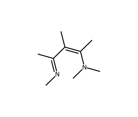 CN=C(C)/C(C)=C(/C)N(C)C